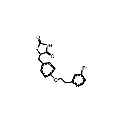 CC(C)c1ccnc(CCOc2ccc(CC3SC(=O)NC3=O)cc2)c1